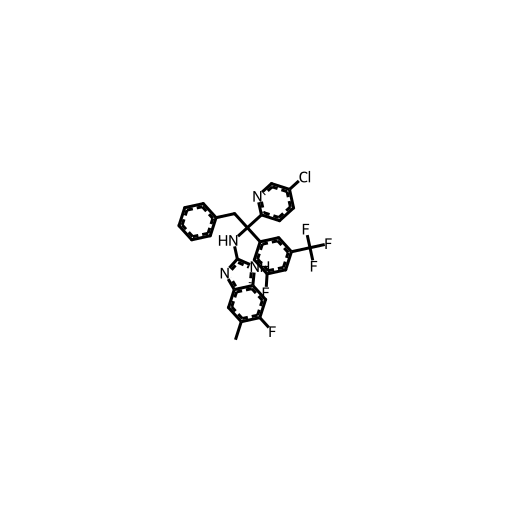 Cc1cc2nc(NC(Cc3ccccc3)(c3cc(F)cc(C(F)(F)F)c3)c3ccc(Cl)cn3)[nH]c2cc1F